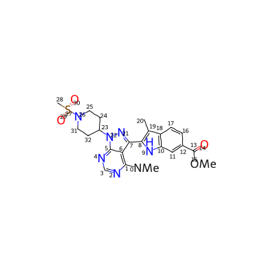 CNc1ncnc2c1c(-c1[nH]c3cc(C(=O)OC)ccc3c1C)nn2C1CCN(S(C)(=O)=O)CC1